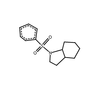 O=S(=O)(c1ccccc1)N1CCC2CCCCC21